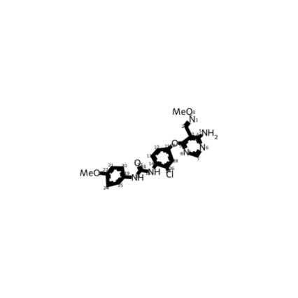 CON=Cc1c(N)ncnc1Oc1ccc(NC(=O)Nc2ccc(OC)cc2)c(Cl)c1